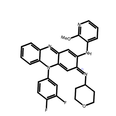 COc1ncccc1Nc1cc2nc3ccccc3n(-c3ccc(F)c(F)c3)c-2c/c1=N\C1CCOCC1